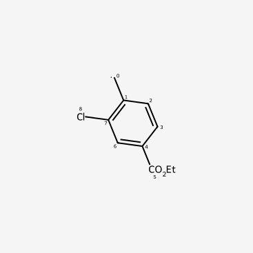 [CH2]c1ccc(C(=O)OCC)cc1Cl